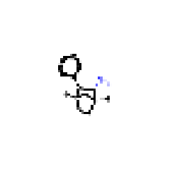 N[C@@H]1[C@@H]2CC[C@@H](C2)[C@H]1c1ccccc1